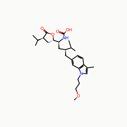 COCCCn1cc(C)c2ccc(C[C@@H](C[C@H](NC(=O)O)[C@@H]3C[C@@H](C(C)C)C(=O)O3)C(C)C)cc21